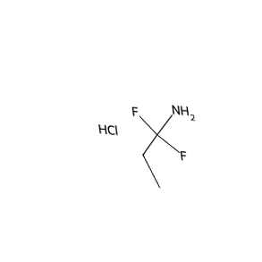 CCC(N)(F)F.Cl